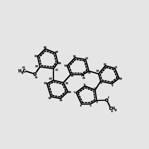 COc1ccccc1-c1ccccc1-c1cccc(-c2ccccc2-c2ccccc2OC)n1